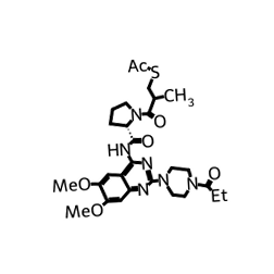 CCC(=O)N1CCN(c2nc(NC(=O)[C@@H]3CCCN3C(=O)C(C)CSC(C)=O)c3cc(OC)c(OC)cc3n2)CC1